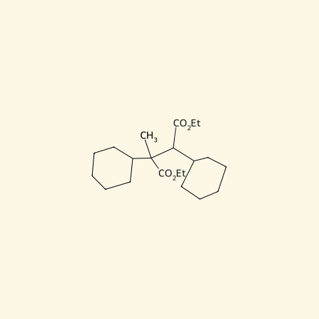 CCOC(=O)C(C1CCCCC1)C(C)(C(=O)OCC)C1CCCCC1